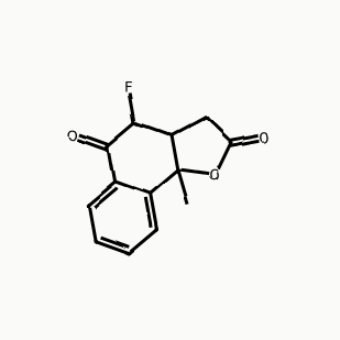 CC12OC(=O)CC1C(F)C(=O)c1ccccc12